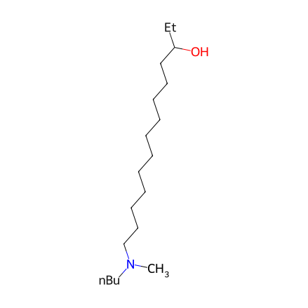 CCCCN(C)CCCCCCCCCCCC(O)CC